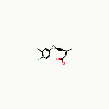 CC(C#C[Se]c1ccc(F)c(C)c1)=CC(=O)O